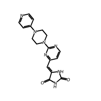 O=C1NC(=O)/C(=C/c2ccnc(N3CCN(c4ccncc4)CC3)n2)N1